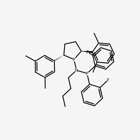 CCCCN(P(c1ccccc1F)c1ccccc1F)P1[C@H](c2cc(C)cc(C)c2)CC[C@H]1c1c(C)cccc1C